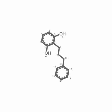 Oc1[c]ccc(O)c1CCCc1ccccc1